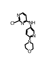 Clc1nccc(Nc2ccc(N3CCOCC3)nc2)n1